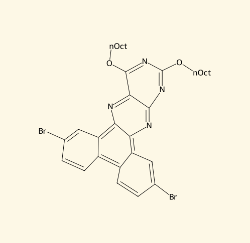 CCCCCCCCOc1nc(OCCCCCCCC)c2nc3c4cc(Br)ccc4c4ccc(Br)cc4c3nc2n1